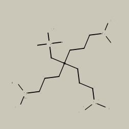 CCCN(CCC)CCCC(CCCN(CCC)CCC)(CCCN(CCC)CCC)C[Si](CC)(CC)OC